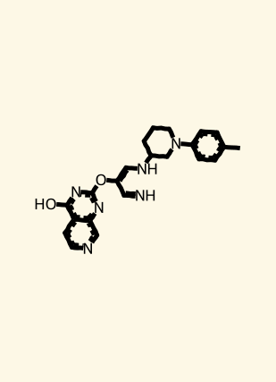 Cc1ccc(N2CCCC(N/C=C(\C=N)Oc3nc(O)c4ccncc4n3)C2)cc1